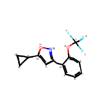 FC(F)(F)Oc1ccccc1-c1cc(C2CC2)on1